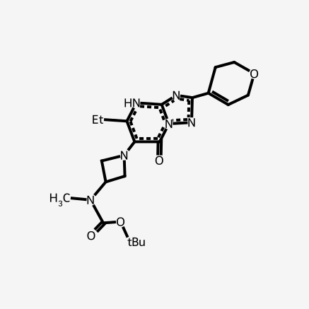 CCc1[nH]c2nc(C3=CCOCC3)nn2c(=O)c1N1CC(N(C)C(=O)OC(C)(C)C)C1